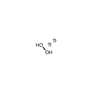 OO.[Tl].[Tl]